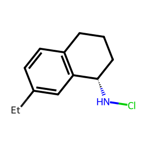 CCc1ccc2c(c1)[C@@H](NCl)CCC2